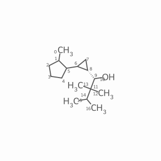 CC1CCCC1C1C[C@@H]1C(O)C(C)(C)C(C)C